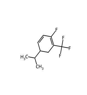 CC(C)C1C=CC(F)=C(C(F)(F)F)C1